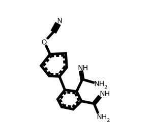 N#COc1ccc(-c2cccc(C(=N)N)c2C(=N)N)cc1